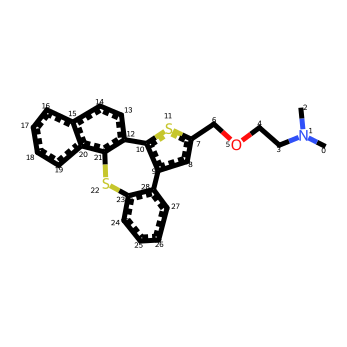 CN(C)CCOCc1cc2c(s1)-c1ccc3ccccc3c1Sc1ccccc1-2